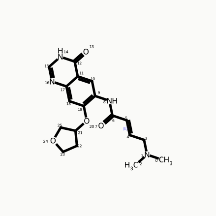 CN(C)C/C=C/C(=O)Nc1cc2c(=O)[nH]cnc2cc1OC1CCOC1